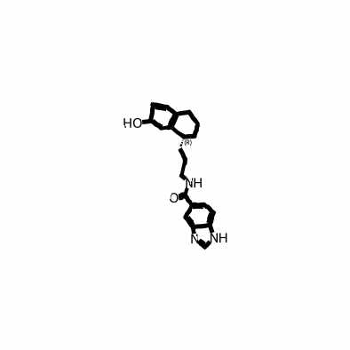 O=C(NCCC[C@H]1CCCc2ccc(O)cc21)c1ccc2[nH]cnc2c1